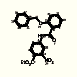 CCOC(=O)c1ccc(NC(=O)c2ccccc2OCc2ccccc2)cc1[N+](=O)[O-]